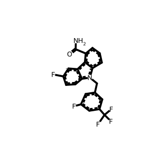 NC(=O)c1cccc2c1c1[c]c(F)ccc1n2Cc1cc(F)cc(C(F)(F)F)c1